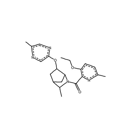 CCOc1ccc(C)nc1C(=O)N1C(C)C2CC(Oc3cnc(C)cn3)C1C2